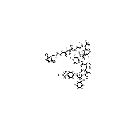 CC[C@H](C)[C@@H]([C@@H](CC(=O)N1CCC[C@H]1[C@H](OC)[C@@H](C)C(=O)N[C@H](C=Cc1ccc(S(=O)(=O)O)cc1)Cc1ccccc1)OC)N(C)C(=O)[C@@H](NC(=O)[C@H](C(C)C)N(C)CCCC(=O)NNC(=O)CCCCCN1C(=O)C=CC1=O)C(C)C